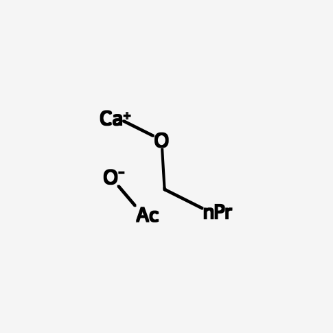 CC(=O)[O-].CCCC[O][Ca+]